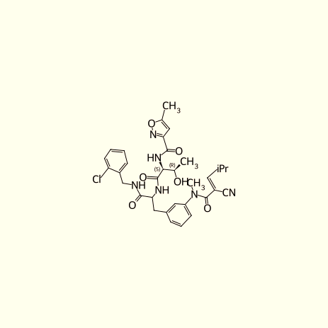 Cc1cc(C(=O)N[C@H](C(=O)NC(Cc2cccc(N(C)C(=O)C(C#N)=CC(C)C)c2)C(=O)NCc2ccccc2Cl)[C@@H](C)O)no1